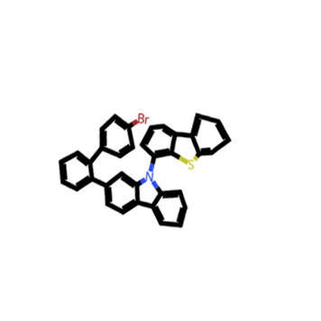 Brc1ccc(-c2ccccc2-c2ccc3c4ccccc4n(-c4cccc5c4sc4ccccc45)c3c2)cc1